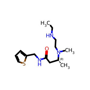 CCNCCN(C)[C@H](C)CC(=O)NCc1cccs1